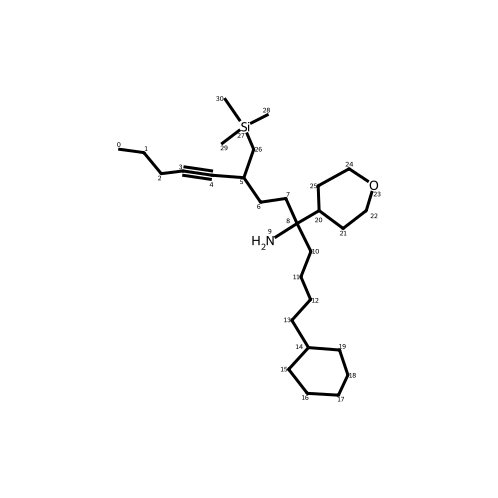 CCCC#CC(CCC(N)(CCCCC1CCCCC1)C1CCOCC1)C[Si](C)(C)C